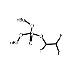 CCCCOP(=O)(OCCCC)OC(F)C(F)F